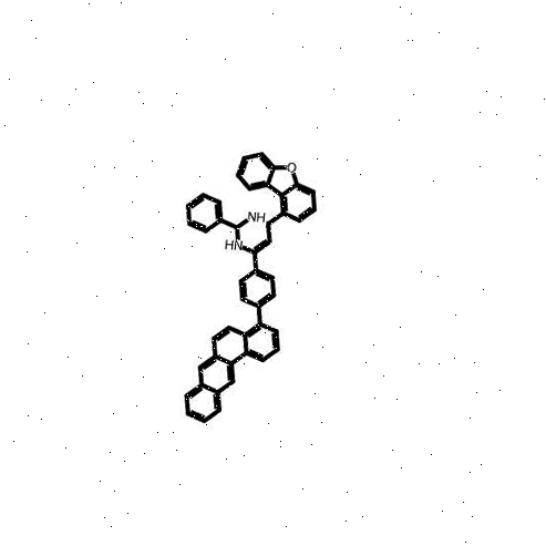 NC(N/C(=C\Cc1cccc2oc3ccccc3c12)c1ccc(-c2cccc3c2ccc2cc4ccccc4cc23)cc1)c1ccccc1